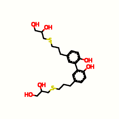 OCC(O)CSCCCc1ccc(O)c(-c2cc(CCCSCC(O)CO)ccc2O)c1